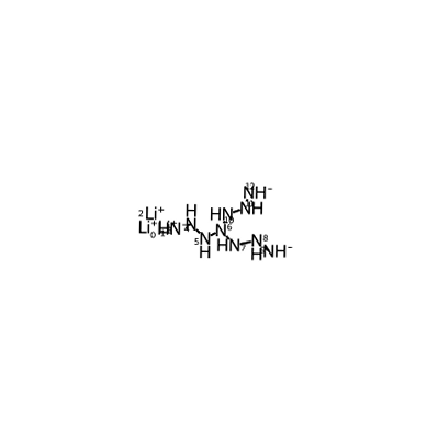 [Li+].[Li+].[Li+].[NH-]NNN(NN[NH-])NN[NH-]